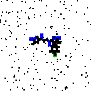 Cc1cc(NCCNc2n[nH]c(C)c2-c2ccc(Cl)cc2)n[nH]1